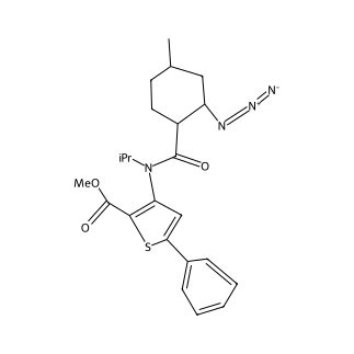 COC(=O)c1sc(-c2ccccc2)cc1N(C(=O)C1CCC(C)CC1N=[N+]=[N-])C(C)C